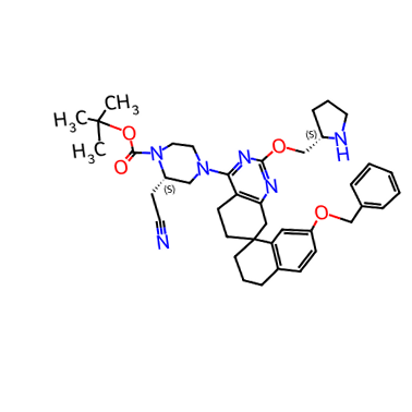 CC(C)(C)OC(=O)N1CCN(c2nc(OC[C@@H]3CCCN3)nc3c2CCC2(CCCc4ccc(OCc5ccccc5)cc42)C3)C[C@@H]1CC#N